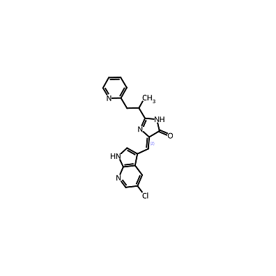 CC(Cc1ccccn1)C1=N/C(=C\c2c[nH]c3ncc(Cl)cc23)C(=O)N1